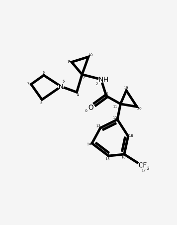 O=C(NC1(CN2CCC2)CC1)C1(c2cccc(C(F)(F)F)c2)CC1